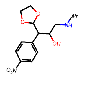 CC(C)NCC(O)C(c1ccc([N+](=O)[O-])cc1)C1OCCO1